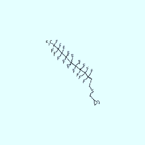 FC(F)(F)C(F)(F)C(F)(F)C(F)(F)C(F)(F)C(F)(F)C(F)(F)C(F)(F)C(F)(F)C(F)(F)CCSCC1CO1